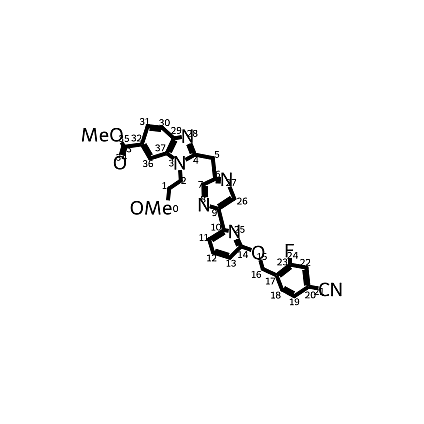 COCCn1c(Cc2cnc(-c3cccc(OCc4ccc(C#N)cc4F)n3)cn2)nc2ccc(C(=O)OC)cc21